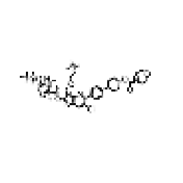 CC(C)(C)[Si](C)(C)O[C@@H]1CO[C@H]2[C@@H]1OC[C@H]2Oc1nc2cc(Cl)c(-c3ccc(C4CCC(OC(=O)N5CCOCC5)CC4)cc3)nc2n1COCC[Si](C)(C)C